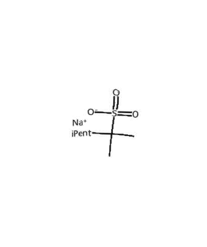 CCCC(C)C(C)(C)S(=O)(=O)[O-].[Na+]